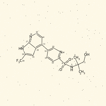 CC(C)(CO)NS(=O)(=O)c1ccc(-c2ccnc3[nH]c(C(F)(F)F)cc23)cn1